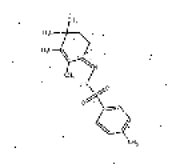 CC1=C(C)C(C)(C)CC/C1=N/NS(=O)(=O)c1ccc(C)cc1